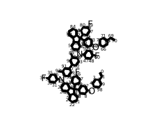 C=Cc1ccc(Oc2ccc(C3(c4ccc(F)cc4)c4ccccc4-c4ccc(N(c5ccc(F)cc5)c5ccc(-c6ccc(N(c7ccc(F)cc7)c7ccc8c(c7)C(c7ccc(Oc9ccc(C=C)cc9)cc7)(C7C=CC(F)=CC7)c7ccccc7-8)c(C)c6)cc5C)cc43)cc2)cc1